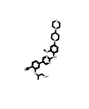 COc1cc(N2CCC(N3CCOCC3)CC2)ccc1Nc1ncc(-c2ccc(C#N)c(OC(C)CO)c2)cn1